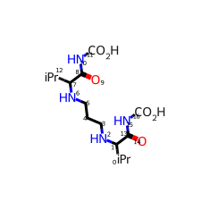 CC(C)C(NCCCNC(C(=O)NC(=O)O)C(C)C)C(=O)NC(=O)O